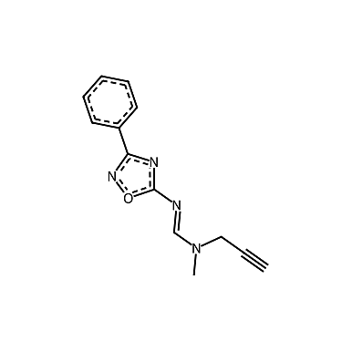 C#CCN(C)C=Nc1nc(-c2ccccc2)no1